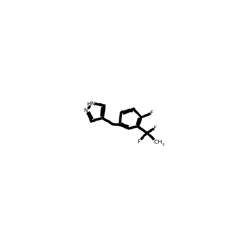 CC(F)(F)c1cc([CH]c2cn[nH]c2)ccc1F